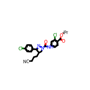 CC(C)OC(=O)c1ccc(NC(=O)N2CC(CCCC#N)C(c3ccc(Cl)cc3)=N2)cc1Cl